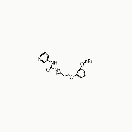 CCCCOc1cccc(OCCC2CN(C(=O)Nc3cccnc3)C2)c1